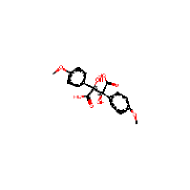 COc1ccc([C@@](O)(C(=O)O)[C@](O)(C(=O)O)c2ccc(OC)cc2)cc1